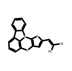 N#CC(C#N)=Cc1cc2c(s1)-n1c3ccccc3c3cccc(c31)S2